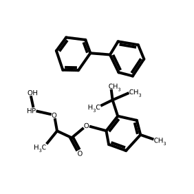 Cc1ccc(OC(=O)C(C)OPO)c(C(C)(C)C)c1.c1ccc(-c2ccccc2)cc1